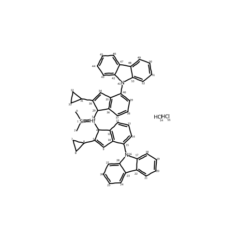 C[Si](C)=[Hf]([CH]1C(C2CC2)=Cc2c1cccc2-n1c2ccccc2c2ccccc21)[CH]1C(C2CC2)=Cc2c1cccc2-n1c2ccccc2c2ccccc21.Cl.Cl